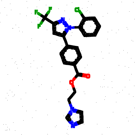 O=C(OCCn1ccnc1)c1ccc(-c2cc(C(F)(F)F)nn2-c2ccccc2Cl)cc1